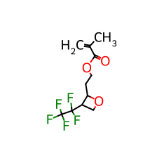 C=C(C)C(=O)OCCC1OCC1C(F)(F)C(F)(F)F